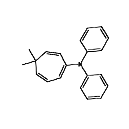 CC1(C)C=CC=C(N(c2ccccc2)c2ccccc2)C=C1